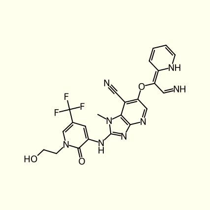 Cn1c(Nc2cc(C(F)(F)F)cn(CCO)c2=O)nc2ncc(O/C(C=N)=C3\C=CC=CN3)c(C#N)c21